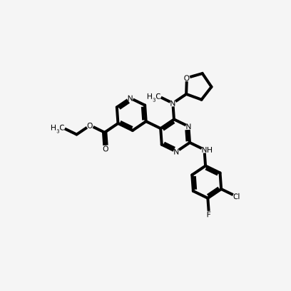 CCOC(=O)c1cncc(-c2cnc(Nc3ccc(F)c(Cl)c3)nc2N(C)C2CCCO2)c1